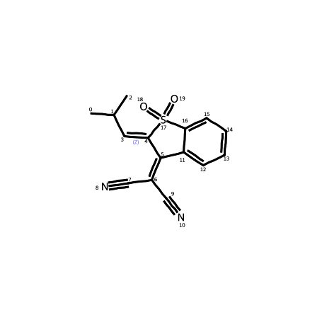 CC(C)/C=C1/C(=C(C#N)C#N)c2ccccc2S1(=O)=O